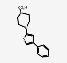 O=C(O)N1CCN(c2cc(-c3ccccc3)cs2)CC1